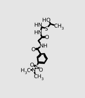 CC(O)SC(=N)NC(=O)CNC(=O)c1cccc(S(=O)(=O)N(C)C)c1